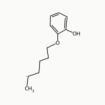 C[CH]CCCCOc1ccccc1O